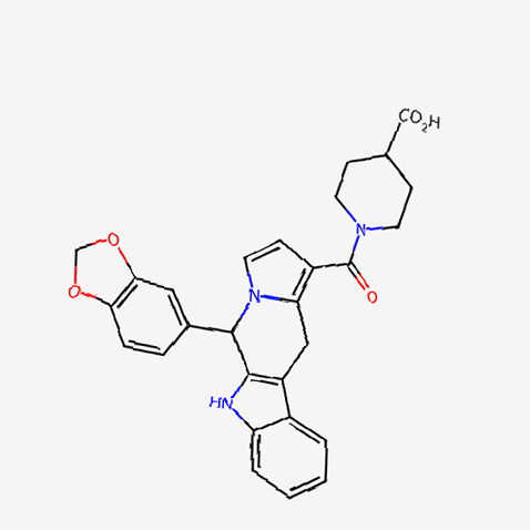 O=C(O)C1CCN(C(=O)c2ccn3c2Cc2c([nH]c4ccccc24)C3c2ccc3c(c2)OCO3)CC1